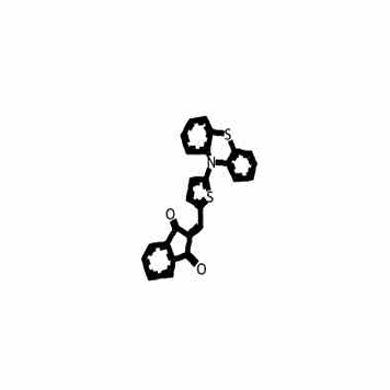 O=C1C(=Cc2ccc(N3c4ccccc4Sc4ccccc43)s2)C(=O)c2ccccc21